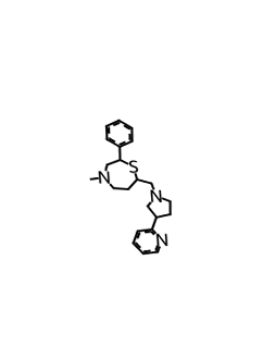 CN1CCC(CN2CCC(c3ccccn3)C2)SC(c2ccccc2)C1